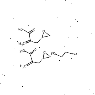 C=C(CC1CO1)C(=O)O.C=C(CC1CO1)C(=O)O.OCCO